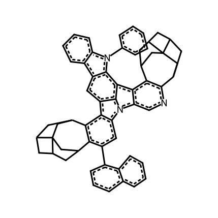 c1ccc(-n2c3ccccc3c3cc4c5c6c(c(-c7cccc8ccccc78)cc5n5c7cnc8c(c7c(c32)c45)C2CC3CC4CC8CC43C2)C2CC3CC4CC6CC34C2)cc1